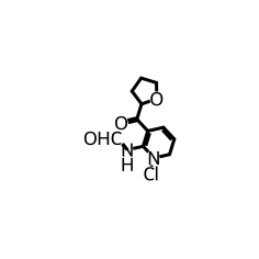 O=CNC1=C(C(=O)C2CCCO2)C=CCN1Cl